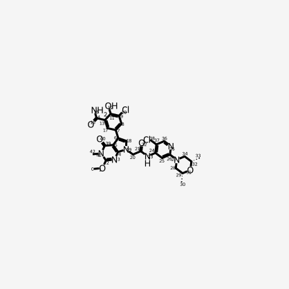 COc1nc2c(c(-c3cc(Cl)c(O)c(C(N)=O)c3)cn2CC(=O)Nc2cc(N3C[C@@H](C)O[C@@H](C)C3)ncc2Cl)c(=O)n1C